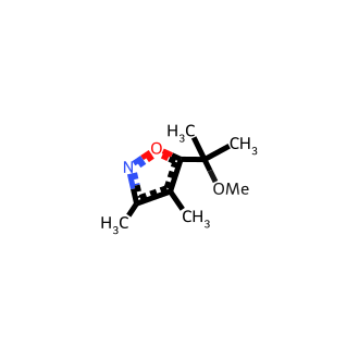 COC(C)(C)c1onc(C)c1C